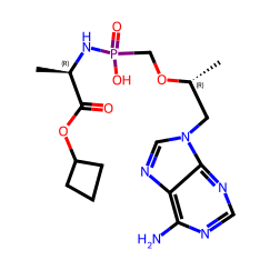 C[C@H](Cn1cnc2c(N)ncnc21)OCP(=O)(O)N[C@H](C)C(=O)OC1CCC1